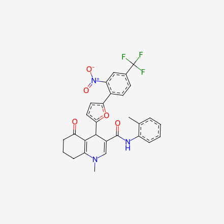 Cc1ccccc1NC(=O)C1=CN(C)C2=C(C(=O)CCC2)C1c1ccc(-c2ccc(C(F)(F)F)cc2[N+](=O)[O-])o1